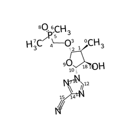 C[C@@H]1[C@@H](OCP(C)(C)=O)O[C@@H](n2cnc(C#N)n2)[C@@H]1O